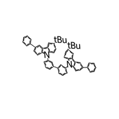 CC(C)(C)c1ccc2c(c1)c1cc(-c3ccccc3)ccc1n2-c1cccc(-c2cccc(-n3c4ccc(-c5ccccc5)cc4c4cc(C(C)(C)C)ccc43)c2)c1